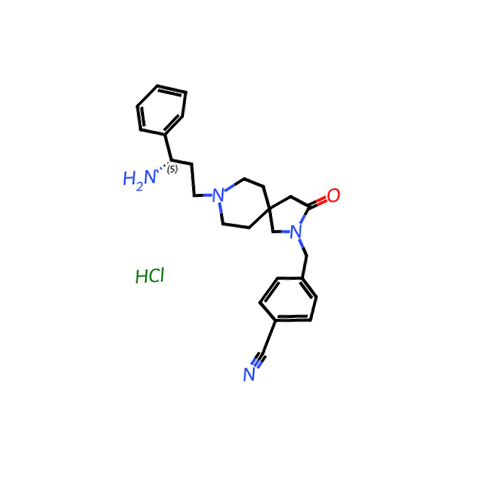 Cl.N#Cc1ccc(CN2CC3(CCN(CC[C@H](N)c4ccccc4)CC3)CC2=O)cc1